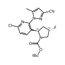 Cc1cc(C#N)nn1-c1nc(Cl)ccc1[C@H]1C[C@H](F)CN1C(=O)OC(C)(C)C